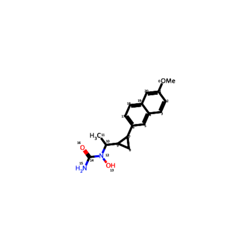 COc1ccc2cc(C3CC3C(C)N(O)C(N)=O)ccc2c1